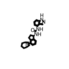 O=C(Nc1cccc2[nH]ncc12)NC1CCc2c1cccc2N1C2CCCC1CC2